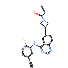 C#Cc1ccc(F)c(Nc2ncnc3ccc(C4CN(C(=O)C=C)C4)cc23)c1